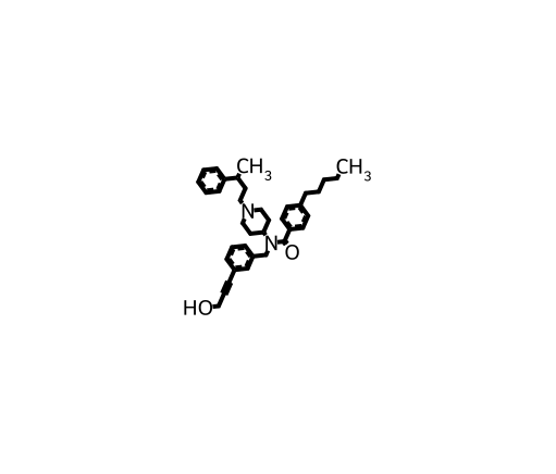 CCCCCc1ccc(C(=O)N(Cc2cccc(C#CCO)c2)C2CCN(CCC(C)c3ccccc3)CC2)cc1